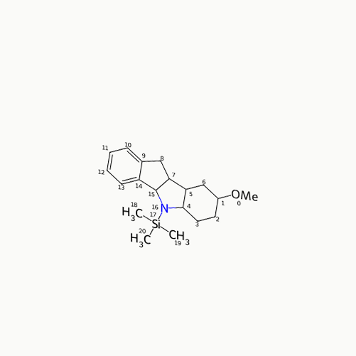 COC1CCC2C(C1)C1Cc3ccccc3C1N2[Si](C)(C)C